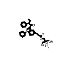 CCC(C(=O)c1cn(-c2ccccc2)c2ccc(CCC(=O)OCC(N)(CO)CO)cc12)c1ccccc1